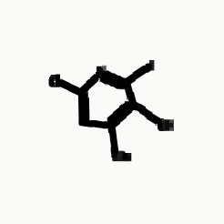 CC(C)(C)c1cc(Cl)nc(I)c1O